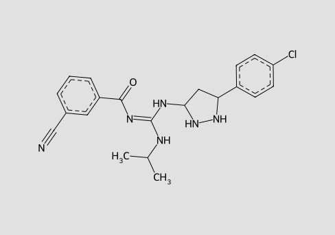 CC(C)N/C(=N/C(=O)c1cccc(C#N)c1)NC1CC(c2ccc(Cl)cc2)NN1